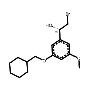 COc1cc(OCC2CCCCC2)cc([C@H](O)CBr)c1